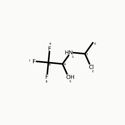 CC(Cl)NC(O)C(F)(F)F